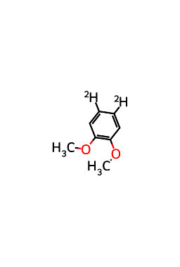 [2H]c1cc(OC)c(OC)cc1[2H]